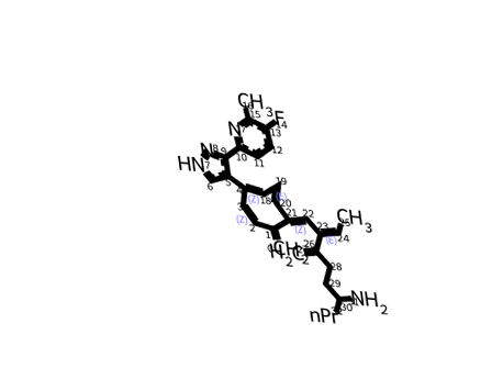 C=C1\C=C/C(c2c[nH]nc2-c2ccc(F)c(C)n2)=C/C=C/C1=C/C(=C\C)C(=C)CCC(N)CCC